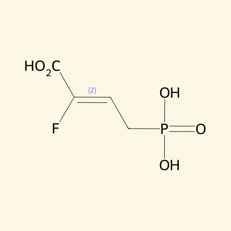 O=C(O)/C(F)=C/CP(=O)(O)O